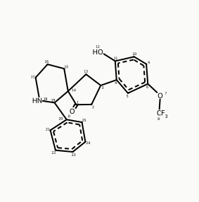 O=C1CC(c2cc(OC(F)(F)F)ccc2O)CC12CCCNC2c1ccccc1